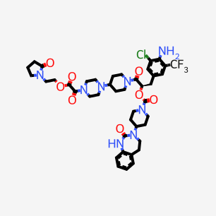 Nc1c(Cl)cc(C[C@@H](OC(=O)N2CCC(N3CCc4ccccc4NC3=O)CC2)C(=O)N2CCC(N3CCN(C(=O)C(=O)OCCN4CCCC4=O)CC3)CC2)cc1C(F)(F)F